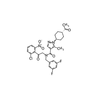 Cc1c(C(=O)N(CC(=O)c2c(Cl)cccc2[N+](=O)[O-])Cc2cc(F)cc(F)c2)cnn1[C@H]1CC[C@H](C(C)=O)CC1